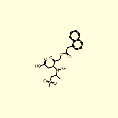 CC(CS(C)(=O)=O)N(S)C(CC(=O)O)C(=O)COC(=O)Cc1cccc2ccccc12